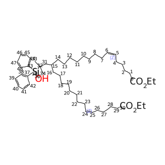 CCOC(=O)CCCC/C=C\CCCCCCCCC(CCCCCCCC/C=C\CCCCC(=O)OCC)CC(C)(C)[Si](O)(c1ccccc1)c1ccccc1